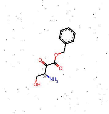 N[C@@H](CO)C(=O)C(=O)OCc1ccccc1